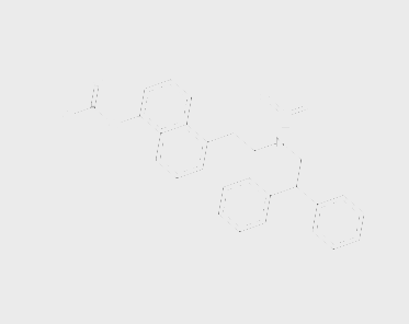 CC(=O)Oc1cccc2c(CCN(CC(c3ccccc3)c3ccccc3)[SH](=O)=O)cccc12